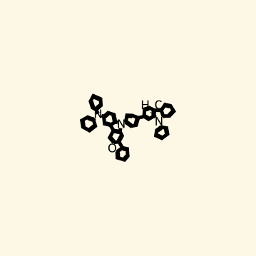 CC12C=CC=CC1N(c1ccccc1)c1cc(-c3ccc(-n4c5ccc(N(c6ccccc6)c6ccccc6)cc5c5cc6oc7ccccc7c6cc54)cc3)ccc12